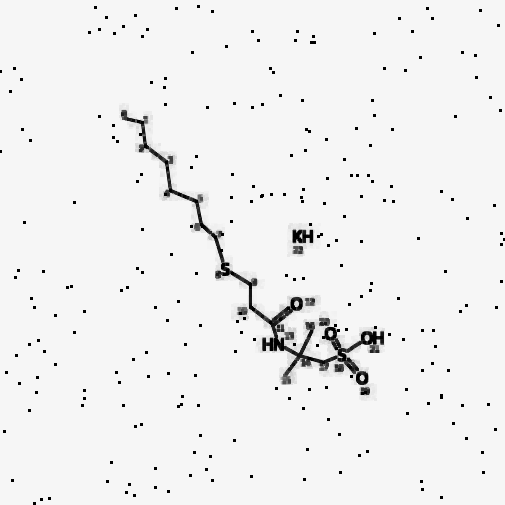 CCCCCCCCSCCC(=O)NC(C)(C)CS(=O)(=O)O.[KH]